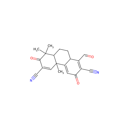 CC1(C)C(=O)C(C#N)=CC2(C)C3=CC(=O)C(C#N)=C(C=O)C3CCC12